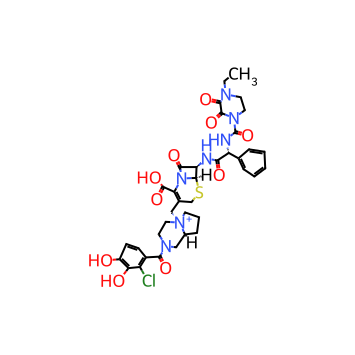 CCN1CCN(C(=O)N[C@@H](C(=O)N[C@@H]2C(=O)N3C(C(=O)O)=C(C[N@+]45CCC[C@H]4CN(C(=O)c4ccc(O)c(O)c4Cl)CC5)CS[C@H]23)c2ccccc2)C(=O)C1=O